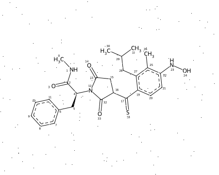 CNC(=O)[C@H](Cc1ccccc1)N1C(=O)CC(C(=S)c2ccc(NO)c(C)c2CC(C)C)C1=O